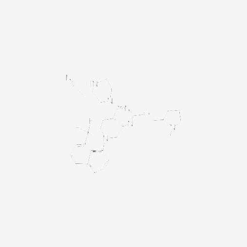 CN1CCCC1COc1nc2c(c(N3CCN[C@@H](CC#N)C3)n1)CCN(c1cccc3cccc(C(F)(F)F)c13)C2